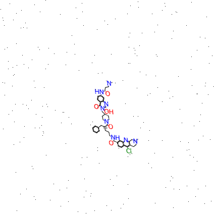 CN(C)CCC(=O)Nc1ccc2c(=O)n(CC3(O)CCN(C(=O)[C@@H](CCCNC(=O)c4ccc5c(Cl)c6c(nc5c4)CN(C)CC6)Cc4ccccc4)CC3)cnc2c1